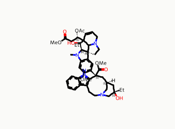 CCC1([C@H](CC(=O)OC)OC(C)=O)C=CCN2CC[C@@]3(c4cc([C@@]5(C(=O)OC)C[C@@H]6CN(CCc7c5[nH]c5ccccc75)C[C@](O)(CC)C6)c(OC)cc4N(C)[C@H]3CO)C21